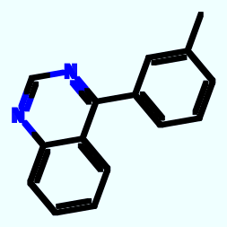 Cc1cccc(-c2ncnc3ccccc23)c1